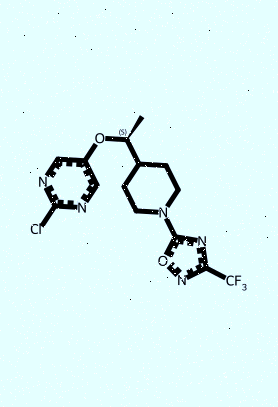 C[C@H](Oc1cnc(Cl)nc1)C1CCN(c2nc(C(F)(F)F)no2)CC1